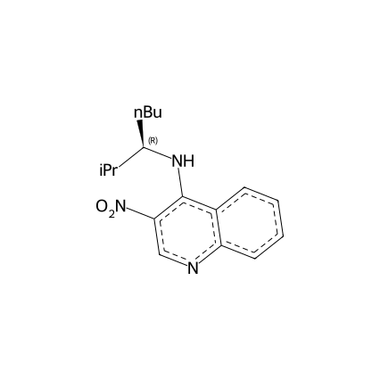 CCCC[C@@H](Nc1c([N+](=O)[O-])cnc2ccccc12)C(C)C